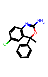 CC1(c2ccccc2)OC(N)=Nc2ccc(Cl)cc21